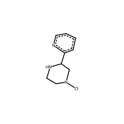 ClN1CCNC(c2ccccn2)C1